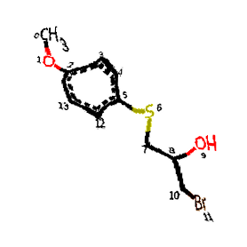 COc1ccc(SCC(O)CBr)cc1